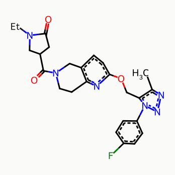 CCN1CC(C(=O)N2CCc3nc(OCc4c(C)nnn4-c4ccc(F)cc4)ccc3C2)CC1=O